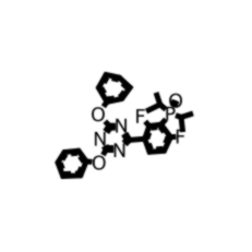 CC(C)P(=O)(c1c(F)ccc(-c2nc(Oc3ccccc3)nc(Oc3ccccc3)n2)c1F)C(C)C